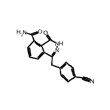 N#Cc1ccc(Cc2n[nH]c(=O)c3c(C(N)=O)[c]ccc23)cc1